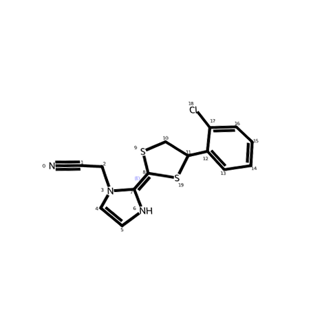 N#CCN1C=CN/C1=C1/SCC(c2ccccc2Cl)S1